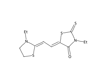 CCN1CCSC1=CC=C1SC(=S)N(CC)C1=O